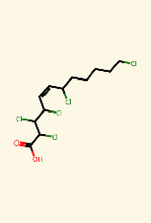 O=C(O)C(Cl)C(Cl)C(Cl)/C=C\C(Cl)CCCCCCl